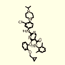 Cc1cccc(C)c1NC(=O)c1cnc(Nc2ccc(N3CCN(C(C)C)CC3)c(Cl)c2)nc1Oc1ccccc1OCC1CC1